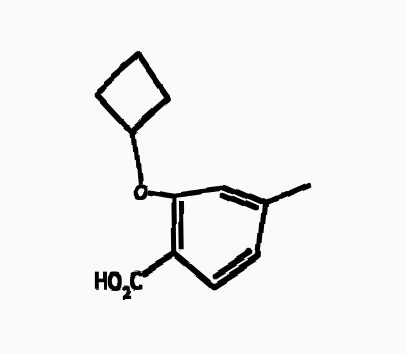 Cc1ccc(C(=O)O)c(OC2CCC2)c1